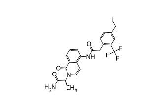 C[C@@H](C(N)=O)n1ccc2c(NC(=O)Cc3ccc(CI)cc3C(F)(F)F)cccc2c1=O